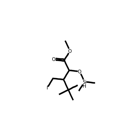 COC(=O)C(O[SiH](C)C)C(CI)C(C)(C)C